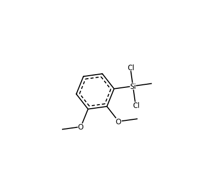 COc1cccc([Si](C)(Cl)Cl)c1OC